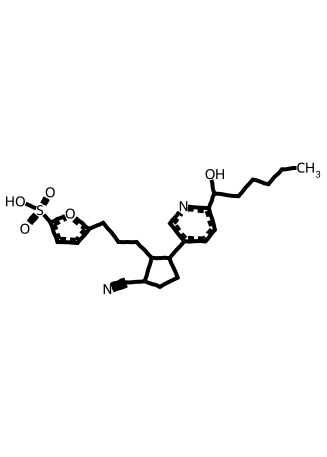 CCCCCC(O)c1ccc(C2CCC(C#N)C2CCCc2ccc(S(=O)(=O)O)o2)cn1